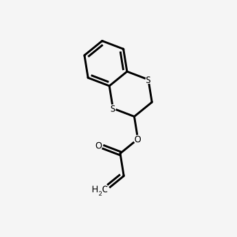 C=CC(=O)OC1CSc2ccccc2S1